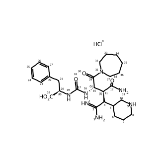 Cl.N=C(N)C(C1CCCNC1)[C@H](C(N)=O)[C@H](NC(=O)N[C@H](Cc1ccccc1)C(=O)O)C(=O)N1CCCCCC1